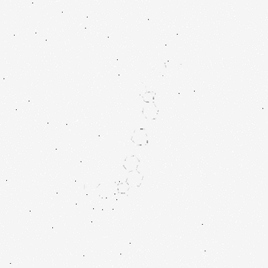 CC(C)(C)OC(=O)N[C@H]1CCC[C@@H]1c1nc2ccc(-c3ccc(-c4ccc5c(ccc6nc(C7CCCN7C(=O)O)[nH]c65)c4)cc3)cc2[nH]1